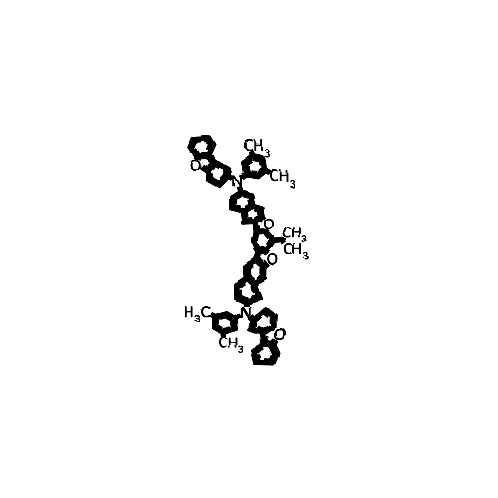 Cc1cc(C)cc(N(c2ccc3cc4c(cc3c2)oc2c(C(C)C)c3oc5cc6cc(N(c7cc(C)cc(C)c7)c7ccc8oc9ccccc9c8c7)ccc6cc5c3cc24)c2ccc3oc4ccccc4c3c2)c1